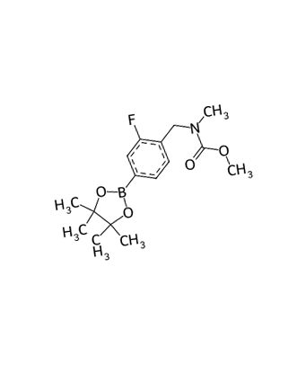 COC(=O)N(C)Cc1ccc(B2OC(C)(C)C(C)(C)O2)cc1F